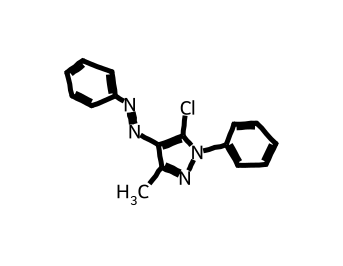 Cc1nn(-c2ccccc2)c(Cl)c1N=Nc1ccccc1